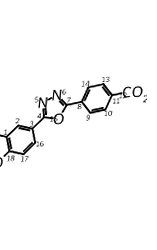 CC(C)(C)c1cc(-c2nnc(-c3ccc(C(=O)O)cc3)o2)ccc1O